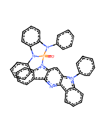 O=P1(n2c3ccccc3c3nc4c5ccccc5n(-c5ccccc5)c4cc32)N(c2ccccc2)c2ccccc2N1c1ccccc1